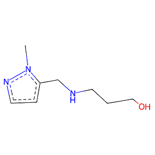 Cn1nccc1CNCCCO